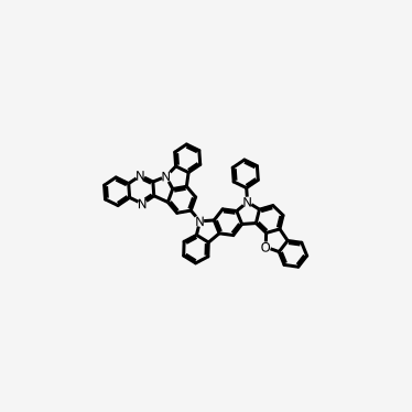 c1ccc(-n2c3cc4c(cc3c3c5oc6ccccc6c5ccc32)c2ccccc2n4-c2cc3c4ccccc4n4c5nc6ccccc6nc5c(c2)c34)cc1